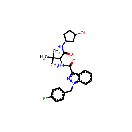 CC(C)(C)[C@H](NC(=O)c1nn(Cc2ccc(F)cc2)c2ccccc12)C(=O)N[C@H]1CC[C@@H](O)C1